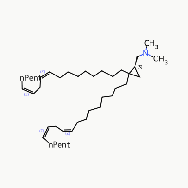 CCCCC/C=C\C/C=C\CCCCCCCCC1(CCCCCCCC/C=C\C/C=C\CCCCC)C[C@@H]1CN(C)C